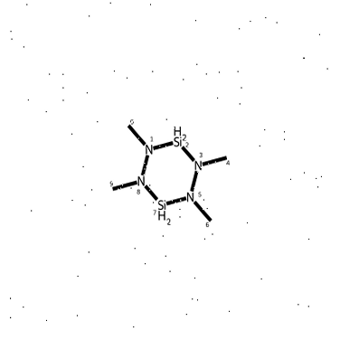 CN1[SiH2]N(C)N(C)[SiH2]N1C